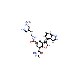 CN/C=C(\C=N)CCNC(=O)c1cc(C(=O)NC)c2c(c1)[C@@H](c1cccc3[nH]ccc13)CO2